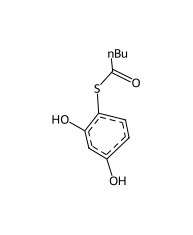 CCCCC(=O)Sc1ccc(O)cc1O